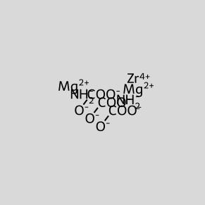 O=C([O-])[O-].O=C([O-])[O-].O=C([O-])[O-].[Mg+2].[Mg+2].[NH2-].[NH2-].[Zr+4]